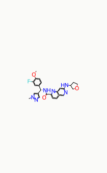 COc1ccc([C@H](NC(=O)c2ccc3cnc(NC4CCOC4)cc3n2)c2cnn(C)c2)cc1F